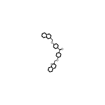 O=C(c1ccc(OCc2ccc3ccccc3c2)cc1)c1ccc(OCc2ccc3ccccc3n2)cc1